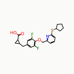 O=C(O)C1CC1Cc1cc(F)c(OCc2cccc(SC3CCCC3)n2)c(F)c1